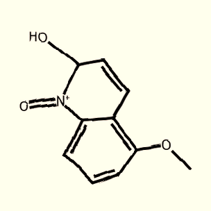 COc1cccc2c1C=CC(O)[N+]2=O